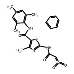 Cc1cc(C)c(NC(=O)c2sc(NC(=O)C=S(=O)=O)nc2C)c(C)c1.c1ccccc1